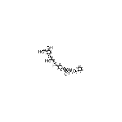 O=P(O)(CCCOCc1ccccc1)COc1ccc(CCNC[C@H](O)COc2ccc(O)c(CO)c2)cc1